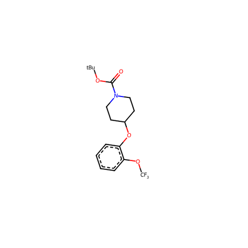 CC(C)(C)OC(=O)N1CCC(Oc2ccccc2OC(F)(F)F)CC1